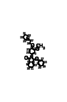 COc1cc(N2C(=O)c3ccccc3[C@@H]2Oc2ccccc2)ccc1OCCN1CCCC1